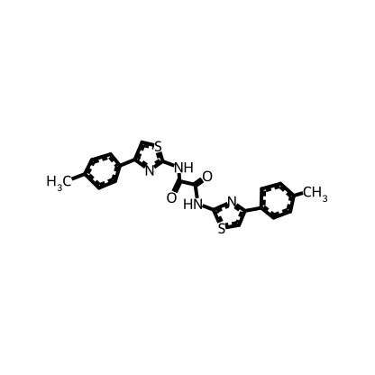 Cc1ccc(-c2csc(NC(=O)C(=O)Nc3nc(-c4ccc(C)cc4)cs3)n2)cc1